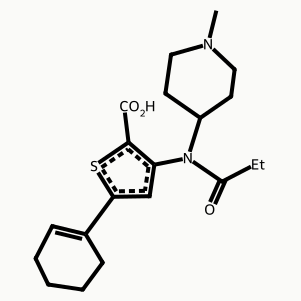 CCC(=O)N(c1cc(C2=CCCCC2)sc1C(=O)O)C1CCN(C)CC1